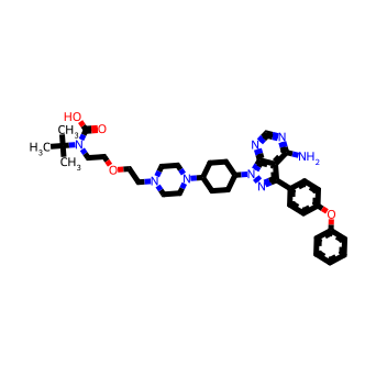 CC(C)(C)N(CCOCCN1CCN(C2CCC(n3nc(-c4ccc(Oc5ccccc5)cc4)c4c(N)ncnc43)CC2)CC1)C(=O)O